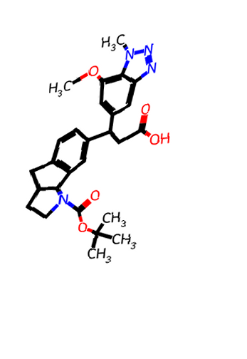 COc1cc(C(CC(=O)O)c2ccc3c(c2)C2C(CCN2C(=O)OC(C)(C)C)C3)cc2nnn(C)c12